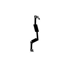 CC#CC=NCC